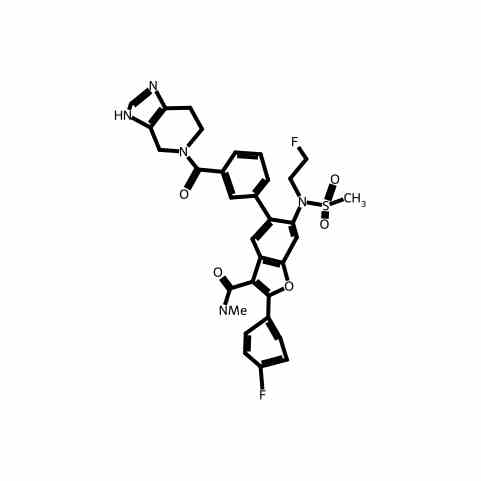 CNC(=O)c1c(-c2ccc(F)cc2)oc2cc(N(CCF)S(C)(=O)=O)c(-c3cccc(C(=O)N4CCc5nc[nH]c5C4)c3)cc12